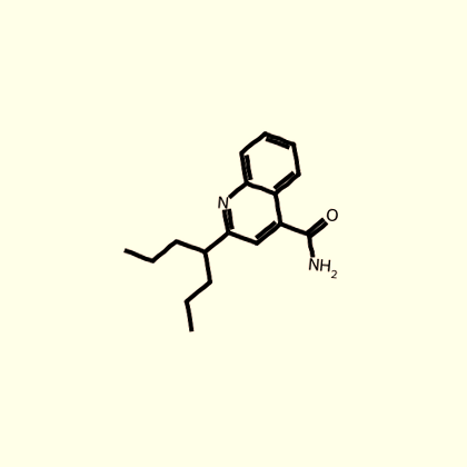 CCCC(CCC)c1cc(C(N)=O)c2ccccc2n1